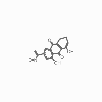 C=C(N=O)c1cc(O)c2c(c1)C(=O)C1=C(C2=O)C(O)=CCC1